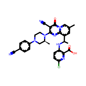 Cc1cc(C(C)Nc2ccc(Cl)nc2C(=O)O)c2nc(N3CCN(c4ccc(C#N)cc4)C[C@@H]3C)c(C#N)c(=O)n2c1